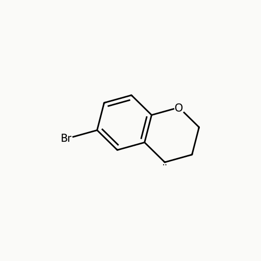 Brc1ccc2c(c1)[C]CCO2